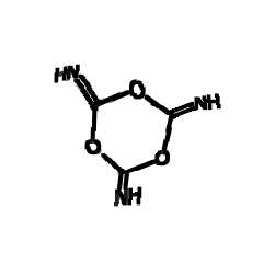 N=c1oc(=N)oc(=N)o1